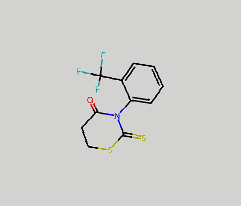 O=C1CCSC(=S)N1c1ccccc1C(F)(F)F